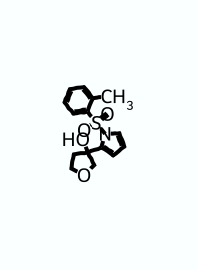 Cc1ccccc1S(=O)(=O)n1cccc1C1(O)CCOC1